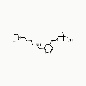 CCN(CC)CCCCNCc1cc(C=NCC(C)(C)CO)ccn1